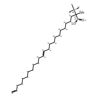 C=CCCCCCCCCCC=CCCCCCCCCCCC(CCC)(P(=O)=O)[N+](C)(C)C